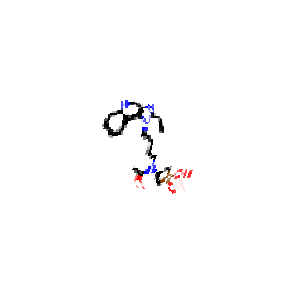 CCc1nc2cnc3ccccc3c2n1CCCCN(C(C)=O)C1CS(O)(O)C1